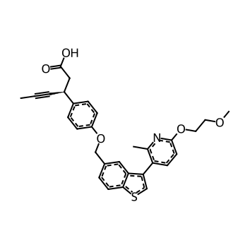 CC#C[C@@H](CC(=O)O)c1ccc(OCc2ccc3scc(-c4ccc(OCCOC)nc4C)c3c2)cc1